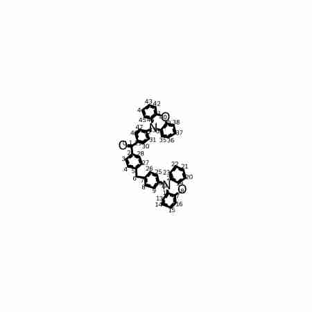 O=C(c1ccc(Cc2ccc(N3c4ccccc4Oc4ccccc43)cc2)cc1)c1ccc(N2c3ccccc3Oc3ccccc32)cc1